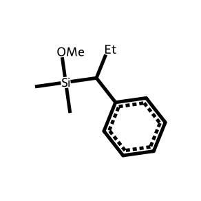 CCC(c1ccccc1)[Si](C)(C)OC